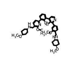 COc1cc(-c2nccc(-c3cccc(-c4ccc(CN[C@H]5CC[C@H](OC)CC5)c(OC)n4)c3Cl)c2Cl)ccc1CN[C@H]1CC[C@H](OC)CC1